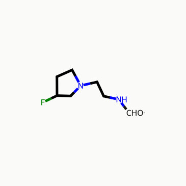 O=[C]NCCN1CCC(F)C1